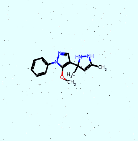 COc1c(C2(C)C=C(C)NN2)cnn1-c1ccccc1